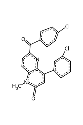 Cn1c(=O)cc(-c2cccc(Cl)c2)c2nc(C(=O)c3ccc(Cl)cc3)ccc21